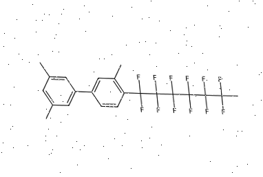 Cc1cc(C)cc(-c2ccc(C(F)(F)C(F)(F)C(F)(F)C(F)(F)C(F)(F)C(C)(F)F)c(C)c2)c1